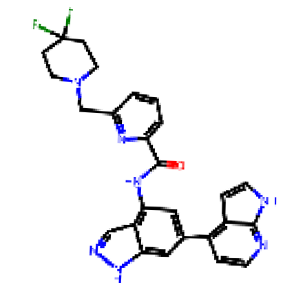 O=C(Nc1cc(-c2ccnc3[nH]ccc23)cc2[nH]ncc12)c1cccc(CN2CCC(F)(F)CC2)n1